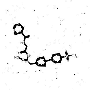 CS(=O)(=O)c1ccc(-c2ccc(C[C@@H](CO)NC(=O)CNC(=O)c3cccnc3)cc2)cc1